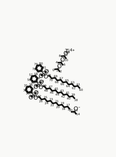 CC(C)[O-].CC(C)[O-].CC(C)[O-].CC(C)[O-].CCCCCCCCCCCCOS(=O)(=O)c1ccccc1.CCCCCCCCCCCCOS(=O)(=O)c1ccccc1.CCCCCCCCCCCCOS(=O)(=O)c1ccccc1.[Ti+4]